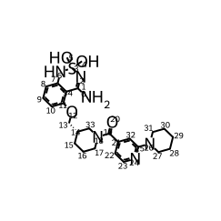 NC1=NS(O)(O)Nc2cccc(OC[C@H]3CCCN(C(=O)c4ccnc(N5CCCCC5)c4)C3)c21